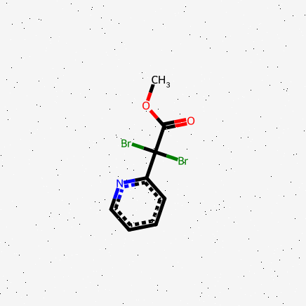 COC(=O)C(Br)(Br)c1ccccn1